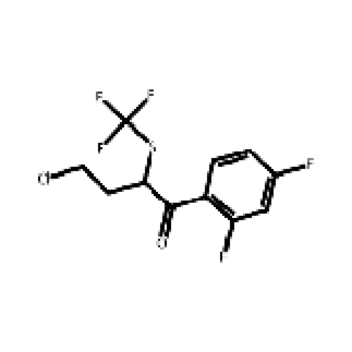 O=C(c1ccc(F)cc1F)C(CCCl)SC(F)(F)F